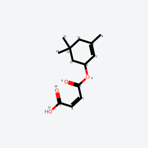 CC1=CC(OC(=O)/C=C\C(=O)O)CC(C)(C)C1